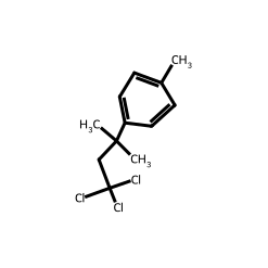 Cc1ccc(C(C)(C)CC(Cl)(Cl)Cl)cc1